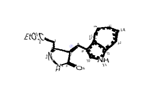 CCOC(=O)CC1=NNC(=O)/C1=C\c1c[nH]c2ccccc12